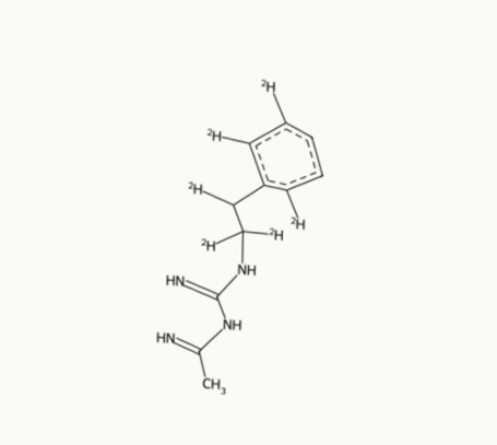 [2H]c1ccc([2H])c(C([2H])C([2H])([2H])NC(=N)NC(C)=N)c1[2H]